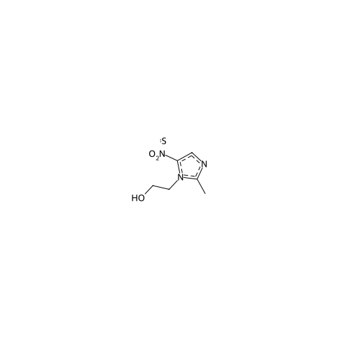 Cc1ncc([N+](=O)[O-])n1CCO.[S]